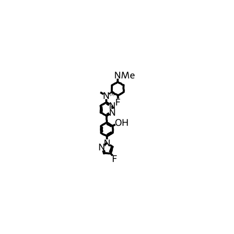 CNC1CCC(F)[C@@H](N(C)c2ccc(-c3ccc(-n4cc(F)cn4)cc3O)nn2)C1